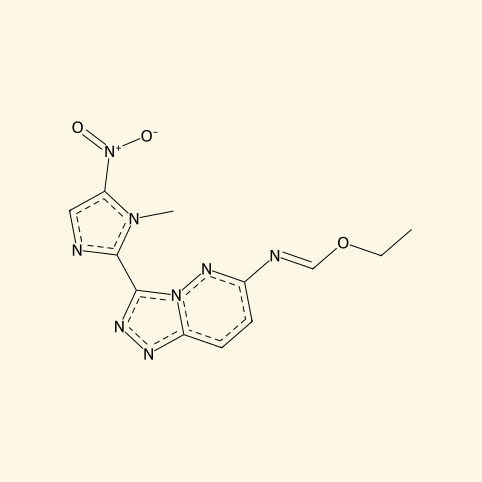 CCOC=Nc1ccc2nnc(-c3ncc([N+](=O)[O-])n3C)n2n1